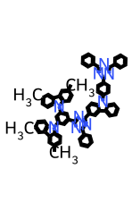 Cc1ccc2c(c1)c1cc(C)ccc1n2-c1cc(-c2nc(-c3ccccc3)nc(-c3ccc4c(c3)c3ccccc3n4-c3ccc(-c4nc(-c5ccccc5)nc(-c5ccccc5)n4)cc3)n2)cc(-n2c3ccc(C)cc3c3cc(C)ccc32)c1